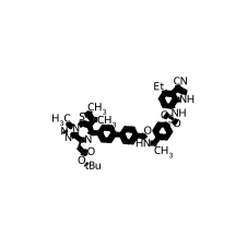 CCc1ccc(NS(=O)(=O)c2ccc([C@@H](C)NC(=O)c3ccc(-c4ccc(C5=N[C@@H](CC(=O)OC(C)(C)C)c6nnc(C)n6-c6sc(C)c(C)c65)cc4)cc3)cc2)c2[nH]cc(C#N)c12